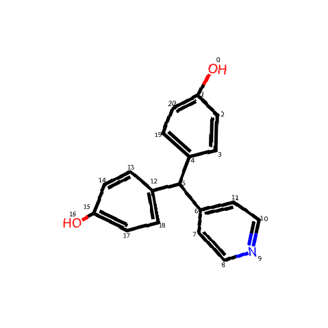 Oc1ccc(C(c2ccncc2)c2ccc(O)cc2)cc1